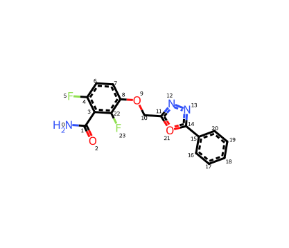 NC(=O)c1c(F)ccc(OCc2nnc(-c3ccccc3)o2)c1F